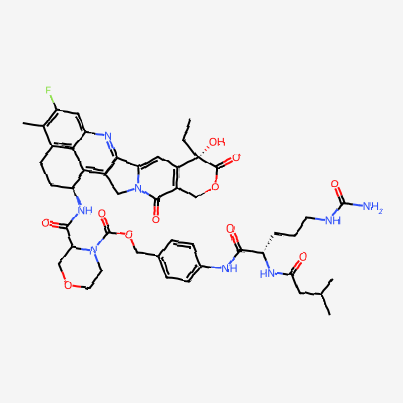 CC[C@@]1(O)C(=O)OCc2c1cc1n(c2=O)Cc2c-1nc1cc(F)c(C)c3c1c2[C@@H](NC(=O)C1COCCN1C(=O)OCc1ccc(NC(=O)[C@H](CCCNC(N)=O)NC(=O)CC(C)C)cc1)CC3